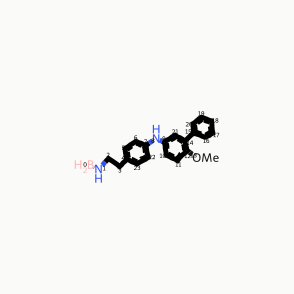 BNCCc1ccc(Nc2ccc(OC)c(-c3ccccc3)c2)cc1